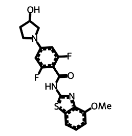 COc1cccc2sc(NC(=O)c3c(F)cc(N4CCC(O)C4)cc3F)nc12